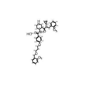 COc1ccccc1COCCCOc1ccc(C(=O)N[C@H]2CCNCC2C(=O)N(Cc2ccccc2OC)C2CC2)cc1.Cl